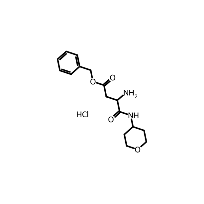 Cl.NC(CC(=O)OCc1ccccc1)C(=O)NC1CCOCC1